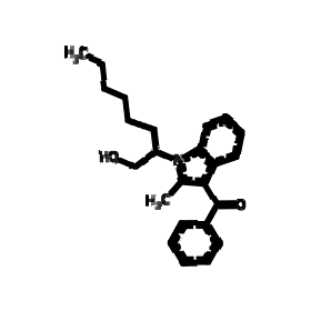 CCCCCCC(CO)n1c(C)c(C(=O)c2ccccc2)c2ccccc21